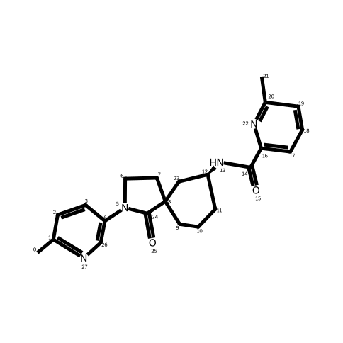 Cc1ccc(N2CCC3(CCC[C@H](NC(=O)c4cccc(C)n4)C3)C2=O)cn1